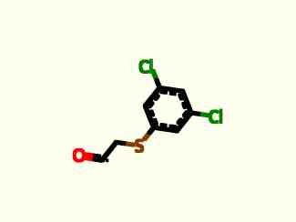 O=[C]CSc1cc(Cl)cc(Cl)c1